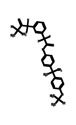 CCC(C)(C)Oc1ccc(C(C)(C)c2ccc(OC(=O)C(F)(F)c3cccc(C(F)(F)C(=O)C(C)(C)CC)c3)cc2)cc1